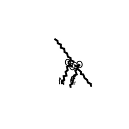 CCCCCCCCCCC(COC(=O)C(CCCCCCCC)CCCCCCCC)OC(=O)CCCCCCN(C)C